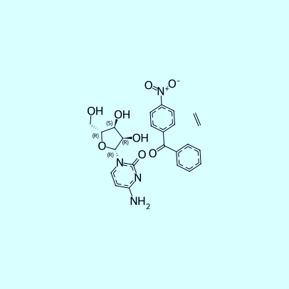 C=C.Nc1ccn([C@@H]2O[C@H](CO)[C@@H](O)[C@H]2O)c(=O)n1.O=C(c1ccccc1)c1ccc([N+](=O)[O-])cc1